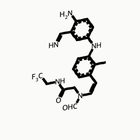 Cc1c(/C=C\N(C=O)CC(=O)NCC(F)(F)F)cccc1Nc1ccc(N)c(C=N)c1